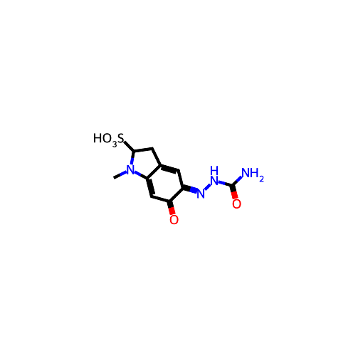 CN1C2=CC(=O)/C(=N/NC(N)=O)C=C2CC1S(=O)(=O)O